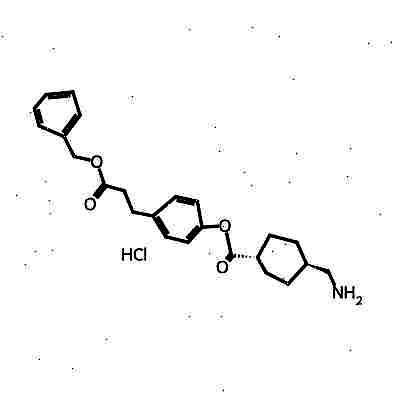 Cl.NC[C@H]1CC[C@H](C(=O)Oc2ccc(CCC(=O)OCc3ccccc3)cc2)CC1